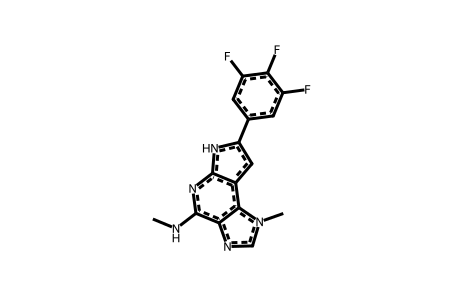 CNc1nc2[nH]c(-c3cc(F)c(F)c(F)c3)cc2c2c1ncn2C